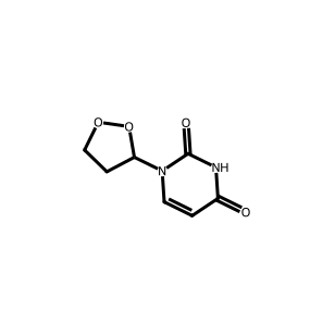 O=c1ccn(C2CCOO2)c(=O)[nH]1